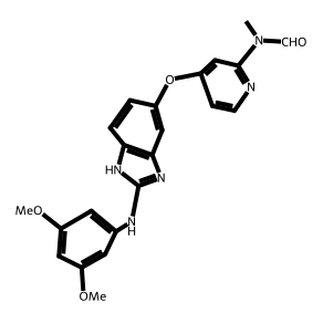 COc1cc(Nc2nc3cc(Oc4ccnc(N(C)C=O)c4)ccc3[nH]2)cc(OC)c1